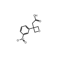 O=C(O)CC1(c2cccc([N+](=O)[O-])c2)COC1